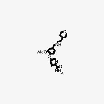 COc1cc(CNCCC2CCOCC2)ccc1Oc1ccc(C(N)=O)nc1